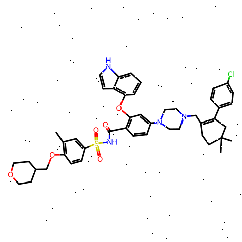 Cc1cc(S(=O)(=O)NC(=O)c2ccc(N3CCN(CC4=C(c5ccc(Cl)cc5)CC(C)(C)CC4)CC3)cc2Oc2cccc3[nH]ccc23)ccc1OCC1CCOCC1